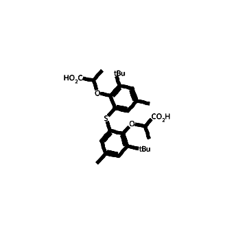 Cc1cc(Sc2cc(C)cc(C(C)(C)C)c2OC(C)C(=O)O)c(OC(C)C(=O)O)c(C(C)(C)C)c1